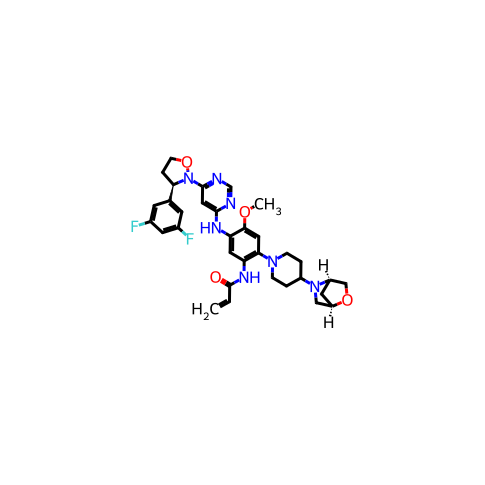 C=CC(=O)Nc1cc(Nc2cc(N3OCC[C@@H]3c3cc(F)cc(F)c3)ncn2)c(OC)cc1N1CCC(N2C[C@H]3C[C@@H]2CO3)CC1